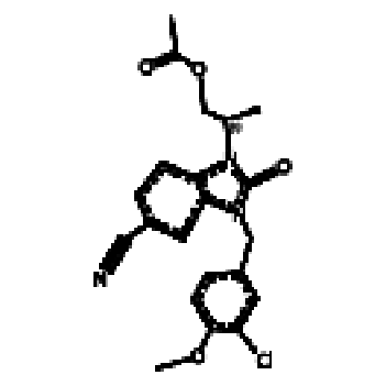 COc1ccc(Cn2c(=O)n([C@H](C)COC(C)=O)c3ccc(C#N)cc32)cc1Cl